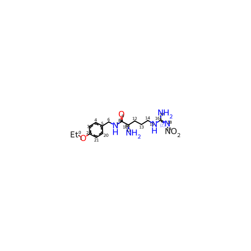 CCOc1ccc(CNC(=O)[C@H](N)CCCN/C(N)=N\[N+](=O)[O-])cc1